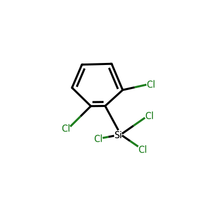 Clc1cccc(Cl)c1[Si](Cl)(Cl)Cl